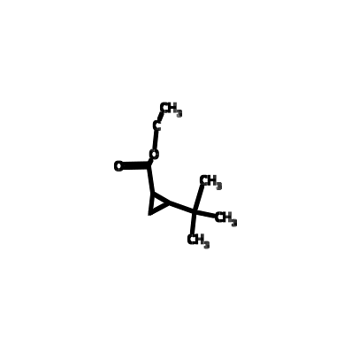 CCOC(=O)C1CC1C(C)(C)C